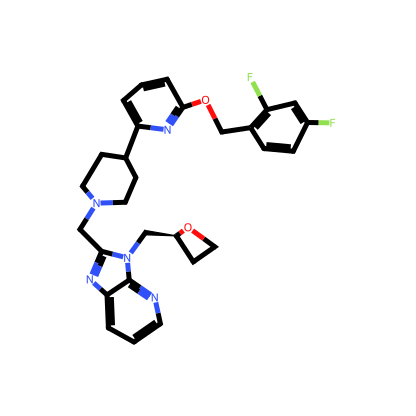 Fc1ccc(COc2cccc(C3CCN(Cc4nc5cccnc5n4C[C@@H]4CCO4)CC3)n2)c(F)c1